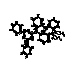 CC1(C)c2ccccc2N(c2ccccc2Oc2cc(-c3ccccc3)nc(-c3ccccc3)n2)c2ccccc21